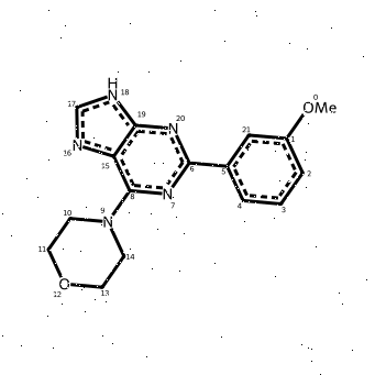 COc1cccc(-c2nc(N3CCOCC3)c3nc[nH]c3n2)c1